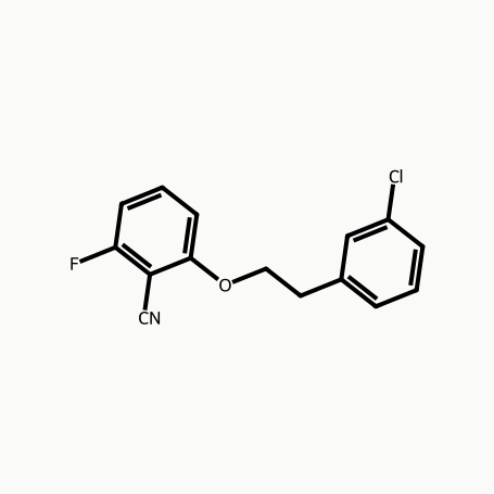 N#Cc1c(F)cccc1OCCc1cccc(Cl)c1